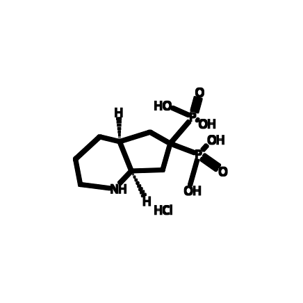 Cl.O=P(O)(O)C1(P(=O)(O)O)C[C@@H]2CCCN[C@@H]2C1